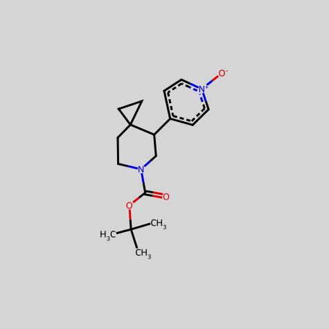 CC(C)(C)OC(=O)N1CCC2(CC2)C(c2cc[n+]([O-])cc2)C1